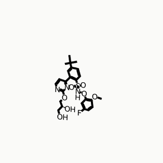 COc1ccc(F)cc1ONS(=O)(=O)c1ccc(C(C)(C)C)cc1-c1ccnc(OC[C@H](O)CO)n1